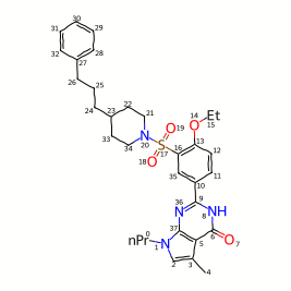 CCCn1cc(C)c2c(=O)[nH]c(-c3ccc(OCC)c(S(=O)(=O)N4CCC(CCCc5ccccc5)CC4)c3)nc21